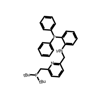 CC(C)(C)P(Cc1cccc(CNc2ccccc2P(c2ccccc2)c2ccccc2)n1)C(C)(C)C